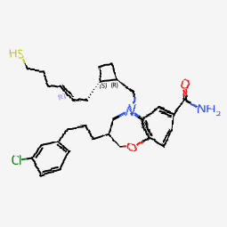 NC(=O)c1ccc2c(c1)N(C[C@@H]1CC[C@H]1C/C=C/CCCS)CC(CCCc1cccc(Cl)c1)CO2